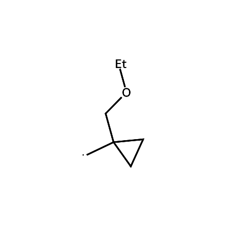 [CH2]C1(COCC)CC1